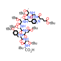 CC[C@H](C)[C@H](NC(=O)[C@H](COC(C)(C)C)NC(=O)[C@H](Cc1ccc(OC(C)(C)C)cc1)NC(=O)[C@H](CC(=O)OC(C)(C)C)NC(=O)[C@H](COC(C)(C)C)NC(=O)[C@@H](NC(=O)[C@H](Cc1ccccc1)NC(=O)[C@@H](NC(=O)CNC(=O)[C@@H](N)CCC(=O)OC(C)(C)C)[C@@H](C)OC(C)(C)C)[C@@H](C)OC(C)(C)C)C(=O)O